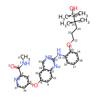 CNC(=O)c1cc(Oc2ccc3nc(Nc4ccccc4OCCCC(C)(C)[Si](C)(C)O)ncc3c2)ccn1